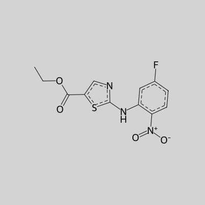 CCOC(=O)c1cnc(Nc2cc(F)ccc2[N+](=O)[O-])s1